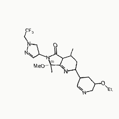 CCOC1CN=CC(C2CC(C)C3C(=O)N(C4C=NN(CC(F)(F)F)C4)[C@@](C)(OC)C3=N2)C1